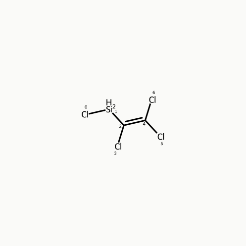 Cl[SiH2]C(Cl)=C(Cl)Cl